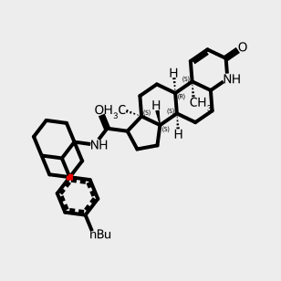 CCCCc1ccc(C2C3CCCC2(NC(=O)C2CC[C@H]4[C@@H]5CCC6NC(=O)C=C[C@]6(C)[C@@H]5CC[C@]24C)CCC3)cc1